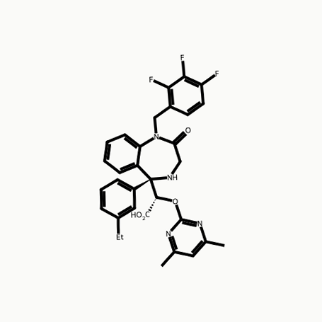 CCc1cccc([C@]2([C@H](Oc3nc(C)cc(C)n3)C(=O)O)NCC(=O)N(Cc3ccc(F)c(F)c3F)c3ccccc32)c1